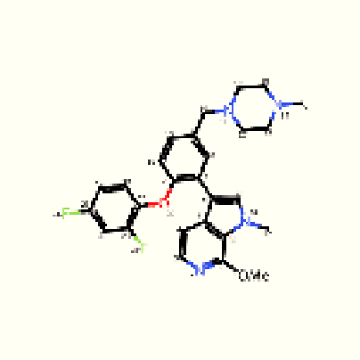 COc1nccc2c(-c3cc(CN4CCN(C)CC4)ccc3Oc3ccc(F)cc3F)cn(C)c12